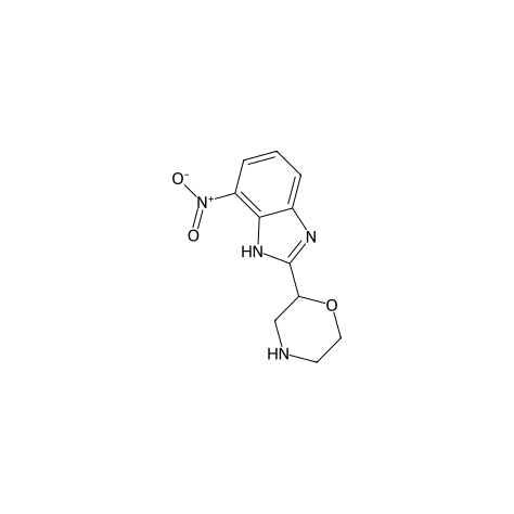 O=[N+]([O-])c1cccc2nc(C3CNCCO3)[nH]c12